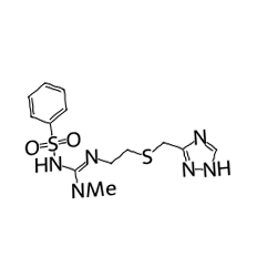 CNC(=NCCSCc1nc[nH]n1)NS(=O)(=O)c1ccccc1